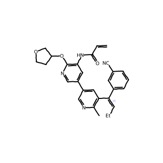 C=CC(=O)Nc1cc(-c2cnc(C)c(/C(=C\CC)c3cccc(C#N)c3)c2)cnc1OC1CCOC1